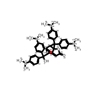 [CH]C(c1ccc(N(C)C)cc1)(c1ccc(N(C)C)cc1)c1nc2c3nc1C1C3(OC2=O)C1(c1ccc(N(C)C)cc1)c1ccc(N(C)C)cc1